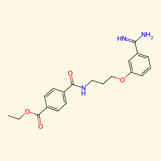 CCOC(=O)c1ccc(C(=O)NCCCOc2cccc(C(=N)N)c2)cc1